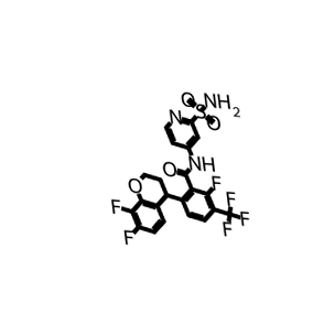 NS(=O)(=O)c1cc(NC(=O)c2c(C3CCOc4c3ccc(F)c4F)ccc(C(F)(F)F)c2F)ccn1